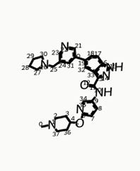 CN1CCC(Oc2ccc(NC(=O)c3n[nH]c4ccc(-c5cncc(CN6CCCC6)c5)cc34)cn2)CC1